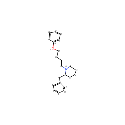 c1ccc(CC2CCCCN2CCCCOc2ccccc2)cc1